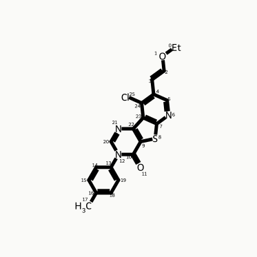 CCOC=Cc1cnc2sc3c(=O)n(-c4ccc(C)cc4)cnc3c2c1Cl